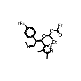 CCC(=O)OC(C)O/C(=C(/C=N\C)c1ccc(C(C)(C)C)cc1)c1c(C)c(C)nn1CC